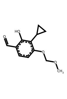 COCOc1ccc(C=O)c(O)c1C1CC1